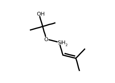 CC(C)=C[SiH2]OC(C)(C)O